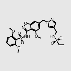 CCS(=O)(=O)NCc1cnn(Cc2cc(OC)c3c(NS(=O)(=O)c4c(OC)cccc4OC)noc3c2)c1